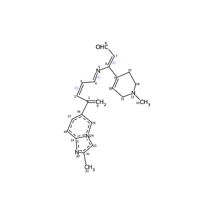 C=C(\C=C/C=N/C(=C\C=O)C1=CCN(C)CC1)c1ccc2nc(C)cn2c1